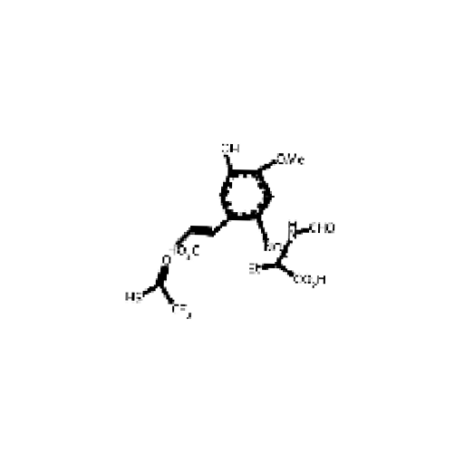 CCC(NC=O)C(=O)O.COc1cc([N+](=O)[O-])c(C=CC(=O)O)cc1O.O=C(S)C(F)(F)F